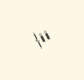 [C]=O.[C]=O.[I][Ru][I]